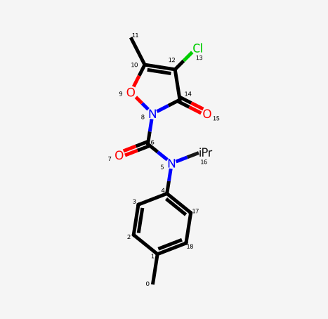 Cc1ccc(N(C(=O)n2oc(C)c(Cl)c2=O)C(C)C)cc1